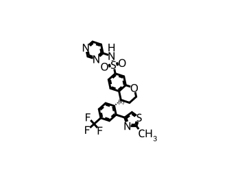 Cc1nc(-c2cc(C(F)(F)F)ccc2[C@H]2CCOc3cc(S(=O)(=O)Nc4ccncn4)ccc32)cs1